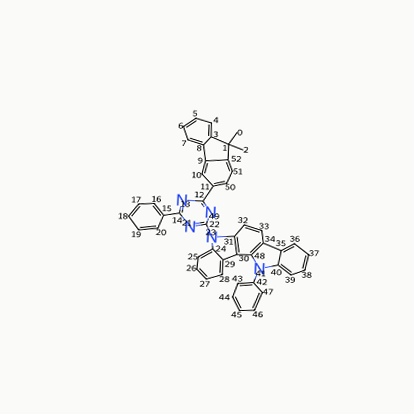 CC1(C)c2ccccc2-c2cc(-c3nc(-c4ccccc4)nc(-n4c5ccccc5c5c4ccc4c6ccccc6n(-c6ccccc6)c45)n3)ccc21